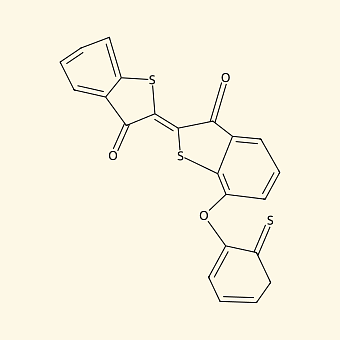 O=C1C(=C2Sc3c(OC4=CC=CCC4=S)cccc3C2=O)Sc2ccccc21